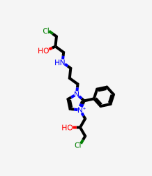 OC(CCl)CNCCCn1cc[n+](CC(O)CCl)c1-c1ccccc1